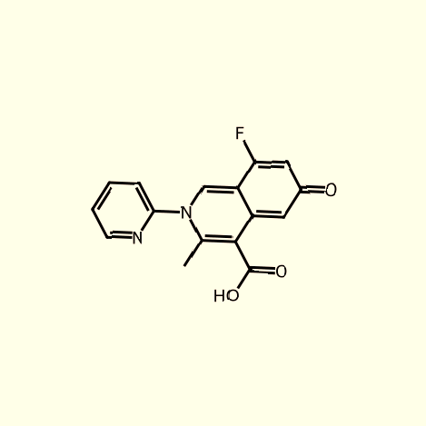 Cc1c(C(=O)O)c2cc(=O)cc(F)c-2cn1-c1ccccn1